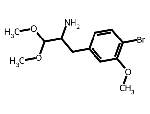 COc1cc(CC(N)C(OC)OC)ccc1Br